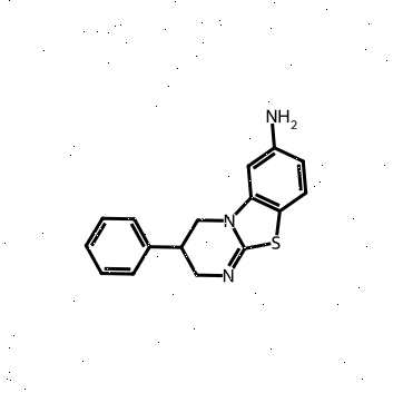 Nc1ccc2c(c1)N1CC(c3ccccc3)CN=C1S2